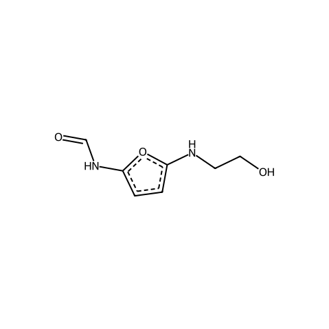 O=CNc1ccc(NCCO)o1